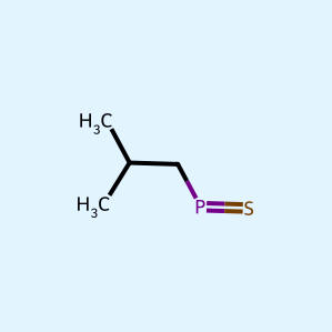 CC(C)CP=S